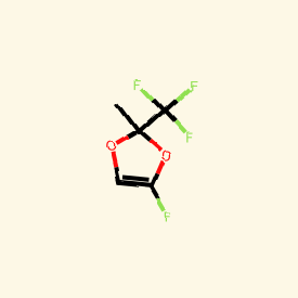 CC1(C(F)(F)F)OC=C(F)O1